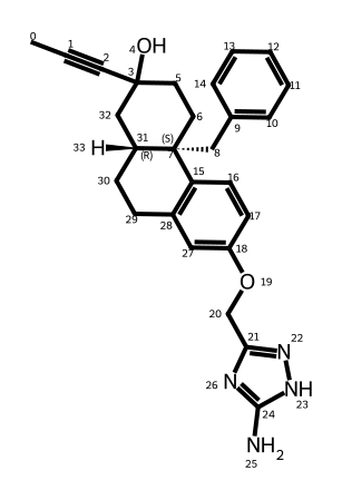 CC#CC1(O)CC[C@@]2(Cc3ccccc3)c3ccc(OCc4n[nH]c(N)n4)cc3CC[C@@H]2C1